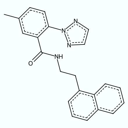 Cc1ccc(-n2nccn2)c(C(=O)NCCc2cccc3ccccc23)c1